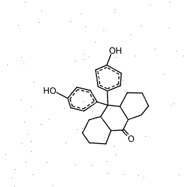 O=C1C2CCCCC2C(c2ccc(O)cc2)(c2ccc(O)cc2)C2CCCCC12